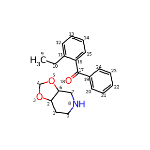 C1CC2OCOC2CN1.CCc1ccccc1C(=O)c1ccccc1